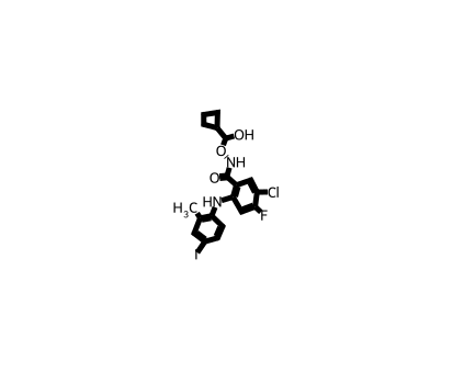 Cc1cc(I)ccc1Nc1cc(F)c(Cl)cc1C(=O)NOC(O)C1CCC1